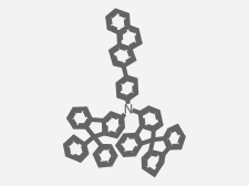 c1ccc(C2(c3ccccc3)c3ccccc3-c3cc(N(c4ccc(-c5ccc6c(ccc7ccccc76)c5)cc4)c4cccc5c4-c4ccccc4C54c5ccccc5-c5ccccc54)ccc32)cc1